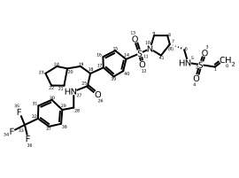 C=CS(=O)(=O)NC[C@H]1CCN(S(=O)(=O)c2ccc(C(CC3CCCC3)C(=O)NCc3ccc(C(F)(F)F)cc3)cc2)C1